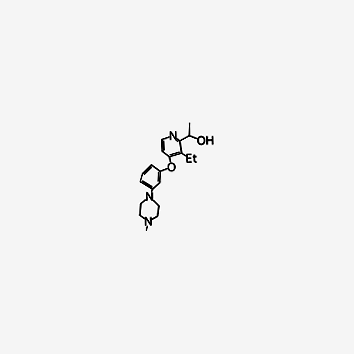 CCc1c(Oc2cccc(N3CCN(C)CC3)c2)ccnc1C(C)O